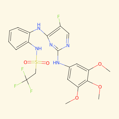 COc1cc(Nc2ncc(F)c(Nc3ccccc3NS(=O)(=O)CC(F)(F)F)n2)cc(OC)c1OC